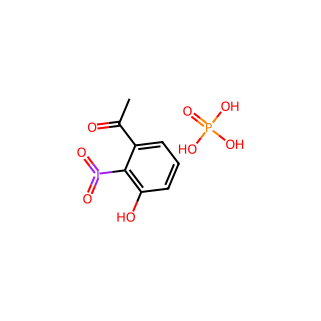 CC(=O)c1cccc(O)c1I(=O)=O.O=P(O)(O)O